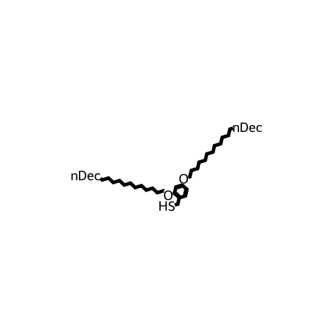 CCCCCCCCCCCCCCCCCCCCCCOc1ccc(CS)c(OCCCCCCCCCCCCCCCCCCCCCC)c1